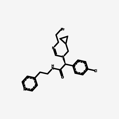 CC(C)CC/N=C\N(CC1CC1)[C@H](C(=O)NCCc1ccncc1)c1ccc(Cl)cc1